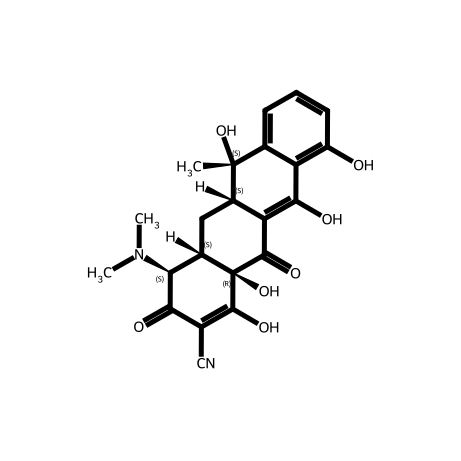 CN(C)[C@@H]1C(=O)C(C#N)=C(O)[C@@]2(O)C(=O)C3=C(O)c4c(O)cccc4[C@@](C)(O)[C@H]3C[C@@H]12